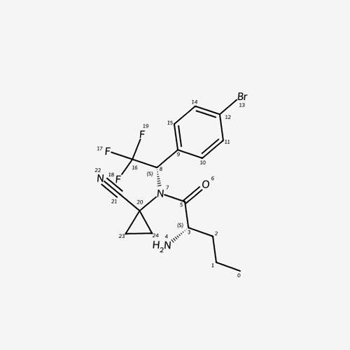 CCC[C@H](N)C(=O)N([C@@H](c1ccc(Br)cc1)C(F)(F)F)C1(C#N)CC1